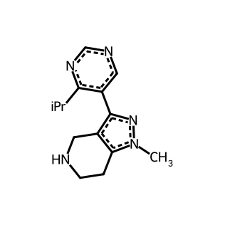 CC(C)c1ncncc1-c1nn(C)c2c1CNCC2